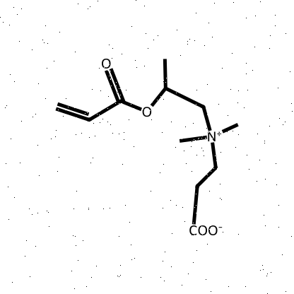 C=CC(=O)OC(C)C[N+](C)(C)CCC(=O)[O-]